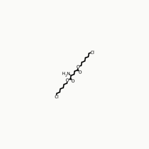 N[C@@H](CCC(=O)OCCCCCCCl)C(=O)OCCCCCCCl